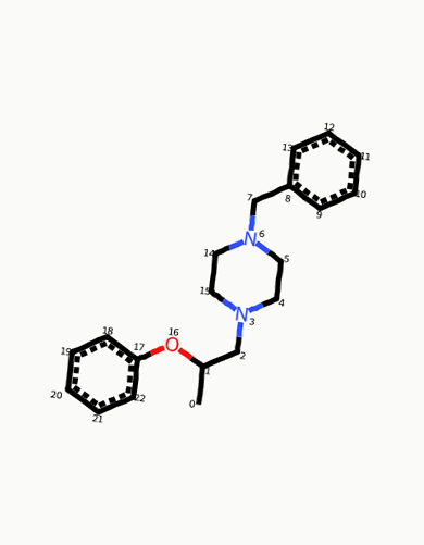 CC(CN1CCN(Cc2ccccc2)CC1)Oc1ccccc1